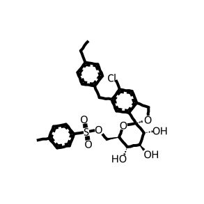 CCc1ccc(Cc2cc3c(cc2Cl)CO[C@]32O[C@H](COS(=O)(=O)c3ccc(C)cc3)[C@@H](O)[C@H](O)[C@H]2O)cc1